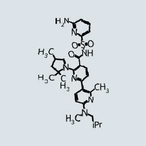 Cc1nc(N(C)CC(C)C)ccc1-c1ccc(C(=O)NS(=O)(=O)c2cccc(N)n2)c(N2CC(C)CC2(C)C)n1